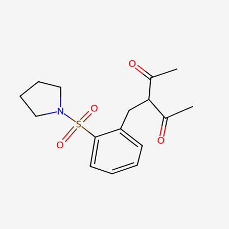 CC(=O)C(Cc1ccccc1S(=O)(=O)N1CCCC1)C(C)=O